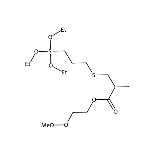 CCO[Si](CCCSCC(C)C(=O)OCCOOC)(OCC)OCC